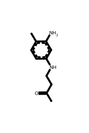 CC(=O)CCNc1ccc(C)c(N)c1